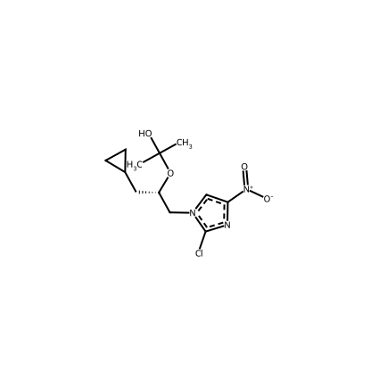 CC(C)(O)O[C@@H](CC1CC1)Cn1cc([N+](=O)[O-])nc1Cl